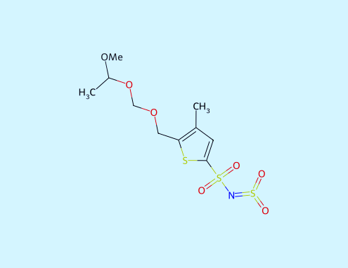 COC(C)OCOCc1sc(S(=O)(=O)N=S(=O)=O)cc1C